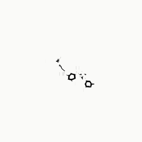 Cc1cc(NCCCOC(C)(C)C)cc(Nc2ncn(-c3cc(F)cc(F)c3)n2)c1